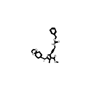 COC(=O)c1c(C#CCNC(=O)OCc2ccccc2)sc([C@H](C)C2CCC3(CC2)OCCO3)c1C